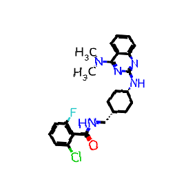 CN(C)c1nc(N[C@H]2CC[C@@H](CNC(=O)c3c(F)cccc3Cl)CC2)nc2ccccc12